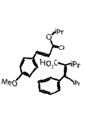 CC(C)C(C(=O)O)=C(c1ccccc1)C(C)C.COc1ccc(C=CC(=O)OC(C)C)cc1